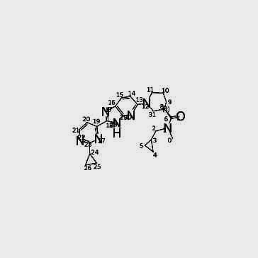 CN(CC1CC1)C(=O)[C@@H]1CCCN(c2ccc3nc(-c4ccnc(C5CC5)n4)[nH]c3n2)C1